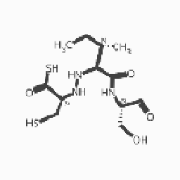 CC[C@H](C)C(NN[C@@H](CS)C(=O)S)C(=O)N[C@H](C=O)CO